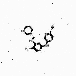 [C-]#[N+]c1cnc(Nc2cc(NC[C@H]3CCCNC3)c(N)cn2)cn1